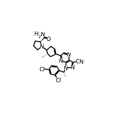 C[C@H](c1ccc(Cl)cc1Cl)n1nc(C#N)c2ncc(C3=CCC(N4CCC[C@H]4C(N)=O)[C@@H](C)C3)nc21